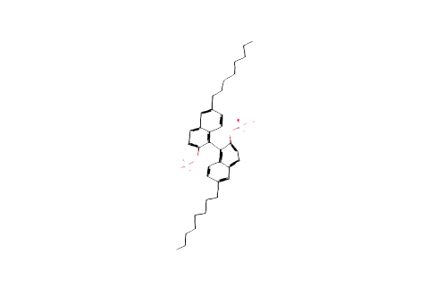 CCCCCCCCc1ccc2c(-c3c(OP(=O)(O)O)ccc4cc(CCCCCCCC)ccc34)c(OP(=O)(O)O)ccc2c1